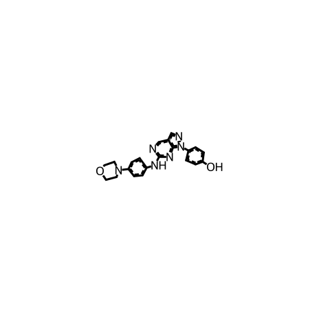 Oc1ccc(-n2ncc3cnc(Nc4ccc(N5CCOCC5)cc4)nc32)cc1